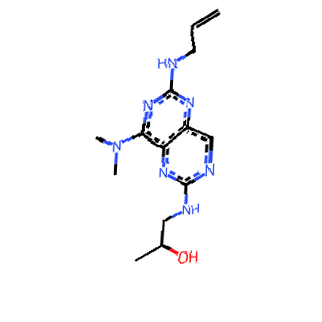 C=CCNc1nc(N(C)C)c2nc(NCC(C)O)ncc2n1